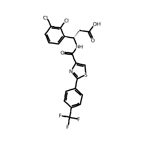 O=C(O)C[C@H](NC(=O)c1csc(-c2ccc(C(F)(F)F)cc2)n1)c1cccc(Cl)c1Cl